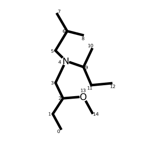 CCC(CN(CC(C)C)C(C)CC)OC